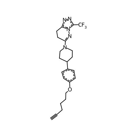 C#CCCCCOc1ccc(C2CCN(C3=Nn4c(nnc4C(F)(F)F)CC3)CC2)cc1